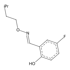 CC(C)CCON=Cc1cc(F)ccc1O